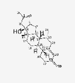 C=C(C)C[C@]1(O)CC[C@H]2[C@H]3[C@H](CC[C@@]21C)[C@H]1CCC(=C)C=C1C[C@H]3C